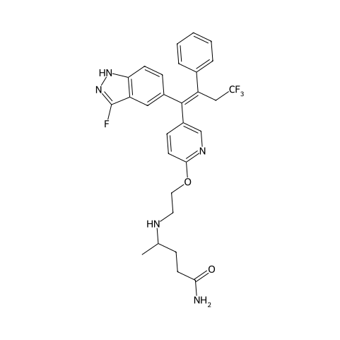 CC(CCC(N)=O)NCCOc1ccc(C(=C(CC(F)(F)F)c2ccccc2)c2ccc3[nH]nc(F)c3c2)cn1